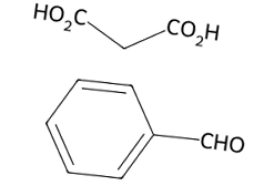 O=C(O)CC(=O)O.O=Cc1ccccc1